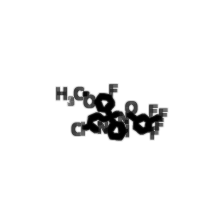 CCOc1cc(F)cc(C(CNC(=O)c2ccc(F)c(C(F)(F)F)c2)(c2ccccc2)c2ccc(Cl)cn2)c1